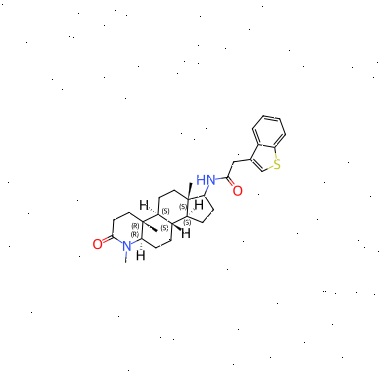 CN1C(=O)CC[C@]2(C)[C@H]3CC[C@]4(C)C(NC(=O)Cc5csc6ccccc56)CC[C@H]4[C@@H]3CC[C@@H]12